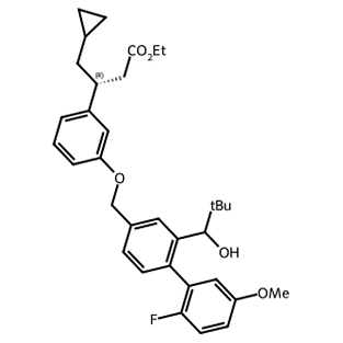 CCOC(=O)C[C@@H](CC1CC1)c1cccc(OCc2ccc(-c3cc(OC)ccc3F)c(C(O)C(C)(C)C)c2)c1